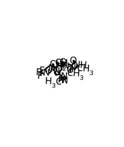 C=C(c1c(C)c(C(=O)NCc2c(OC)cc(C)[nH]c2=O)cc2c(-c3ncnn3C)ccn12)N1CCN(CC(F)(F)F)CC1